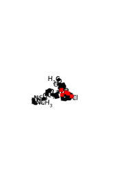 COC(=O)c1ccc2c(c1)N(C[C@@H]1CC[C@H]1[C@@H]1C[C@H](OC[C@H](C)Sc3ncccn3)CCO1)C[C@@]1(CCCc3cc(Cl)ccc31)CO2